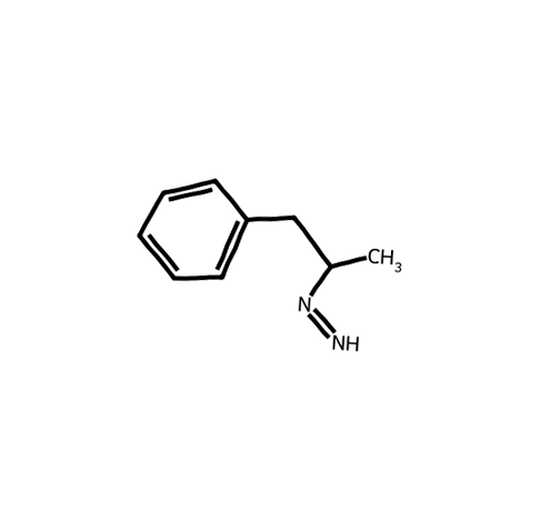 CC(Cc1ccccc1)N=N